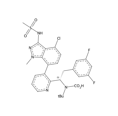 Cn1nc(NS(C)(=O)=O)c2c(Cl)ccc(-c3cccnc3[C@H](Cc3cc(F)cc(F)c3)N(C(=O)O)C(C)(C)C)c21